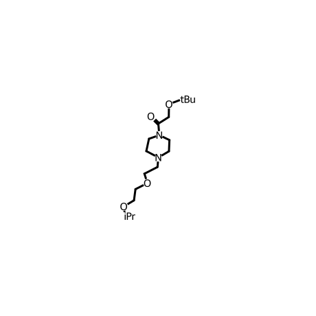 CC(C)OCCOCCN1CCN(C(=O)COC(C)(C)C)CC1